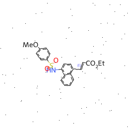 CCOC(=O)/C=C/c1ccc(NS(=O)(=O)c2ccc(OC)cc2)c2ccccc12